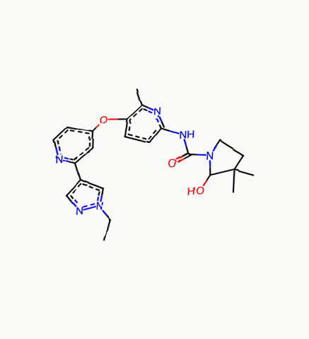 CCn1cc(-c2cc(Oc3ccc(NC(=O)N4CCC(C)(C)C4O)nc3C)ccn2)cn1